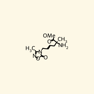 COC(=O)[C@@](C)(N)C/C=C/Cn1c(C)noc1=O